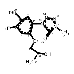 C[C@H](O)COc1cc(F)c(C(C)(C)C)cc1-n1nnn(C)c1=O